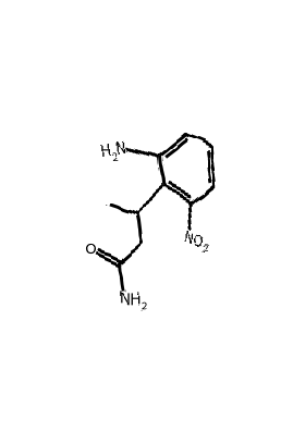 [CH2]C(CC(N)=O)c1c(N)cccc1[N+](=O)[O-]